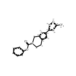 O=C(Oc1ccccc1)N1CCc2cc(-c3noc(C(F)(F)F)n3)sc2C1